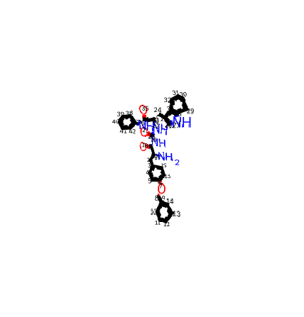 N[C@@H](Cc1ccc(OCc2ccccc2)cc1)C(=O)NC(=O)N[C@@H](Cc1c[nH]c2ccccc12)C(=O)Nc1ccccc1